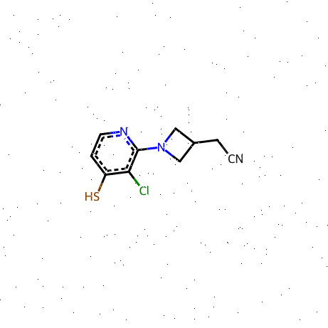 N#CCC1CN(c2nccc(S)c2Cl)C1